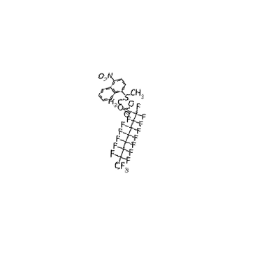 CS(C)(OS(=O)(=O)C(F)(F)C(F)(F)C(F)(F)C(F)(F)C(F)(F)C(F)(F)C(F)(F)C(F)(F)F)c1ccc([N+](=O)[O-])c2ccccc12